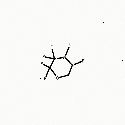 FC1COC(F)(F)C(F)(F)N1F